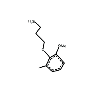 COc1cccc(I)c1OCCC[SiH3]